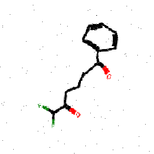 O=C(CCCC(=O)C(F)F)c1ccccc1